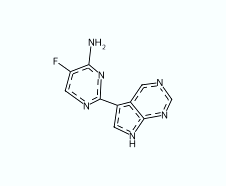 Nc1nc(-c2c[nH]c3ncncc23)ncc1F